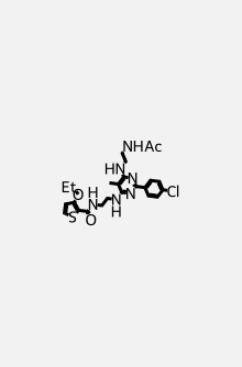 CCOc1ccsc1C(=O)NCCNc1nc(-c2ccc(Cl)cc2)nc(NCCNC(C)=O)c1C